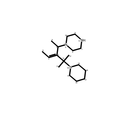 C/C=C(\C(C)N1CCNCC1)C(C)(C)N1CCCCC1